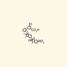 CCc1cc(C(=O)O)cc(-c2ccccc2Cn2c(C)c(C)c3cc(C(=O)NC(C)c4ccc([N+](=O)[O-])cc4)ccc32)c1